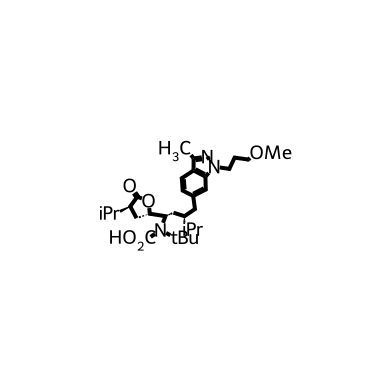 COCCCn1nc(C)c2ccc(C[C@@H](C[C@@H]([C@@H]3C[C@@H](C(C)C)C(=O)O3)N(C(=O)O)C(C)(C)C)C(C)C)cc21